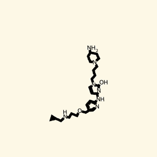 NC1CCN(CCCCN2C=CC(Nc3ccc(COCCCNCC4CC4)cn3)=NC2O)CC1